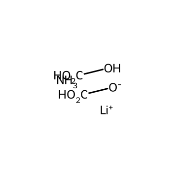 N.O=C(O)O.O=C([O-])O.[Li+]